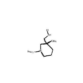 CCNCC1(O)CCCN(C(=O)O)C1